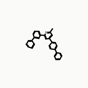 Cc1cc(-c2ccc(-c3ccccc3)cc2)cc(-c2cccc(-c3ccccc3)c2)n1